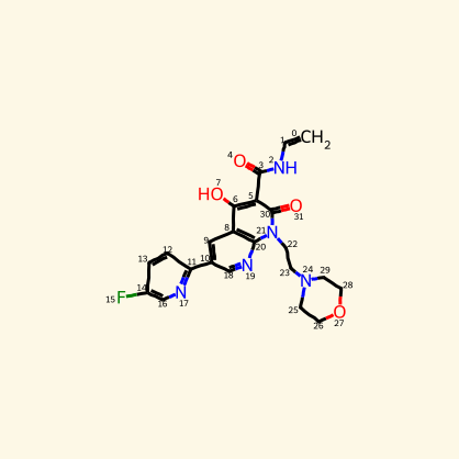 C=CNC(=O)c1c(O)c2cc(-c3ccc(F)cn3)cnc2n(CCN2CCOCC2)c1=O